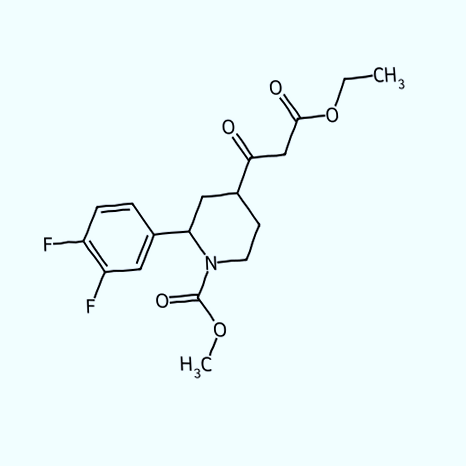 CCOC(=O)CC(=O)C1CCN(C(=O)OC)C(c2ccc(F)c(F)c2)C1